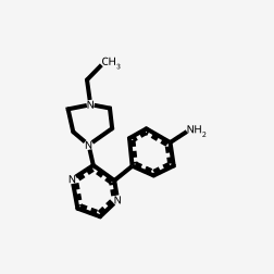 CCN1CCN(c2nccnc2-c2ccc(N)cc2)CC1